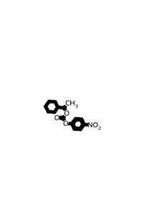 CC(OC(=O)Oc1ccc([N+](=O)[O-])cc1)C1CCCCC1